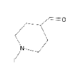 O=CC1CCN(I)CC1